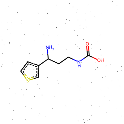 NC(CCNC(=O)O)c1ccsc1